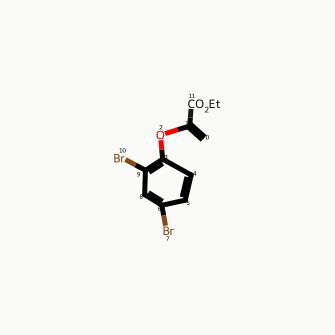 C=C(Oc1ccc(Br)cc1Br)C(=O)OCC